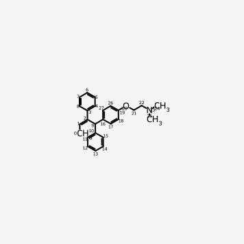 CC=C(c1ccccc1)C(c1ccccc1)c1ccc(OCCN(C)C)cc1